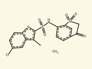 C.Cc1c(S(=O)(=O)Nc2ccc3cc2S(=O)(=O)CC3=O)sc2ccc(Cl)cc12